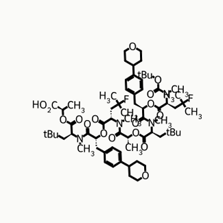 C[C@@H](OC(=O)[C@H](CC(C)(C)C)N(C)C(=O)[C@@H](Cc1ccc(C2CCOCC2)cc1)OC(=O)[C@H](CC(C)(C)F)N(C)C(=O)[C@@H](C)OC(=O)[C@H](CC(C)(C)C)N(C)C(=O)[C@@H](Cc1ccc(C2CCOCC2)cc1)OC(=O)[C@H](CC(C)(C)F)N(C)C(=O)OC(C)(C)C)C(=O)O